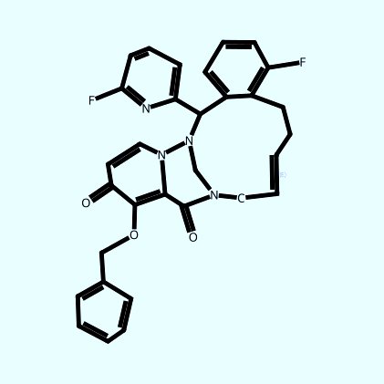 O=C1c2c(OCc3ccccc3)c(=O)ccn2N2CN1C/C=C/CCc1c(F)cccc1C2c1cccc(F)n1